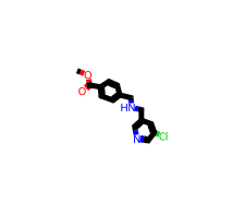 COC(=O)c1ccc(CNCc2cncc(Cl)c2)cc1